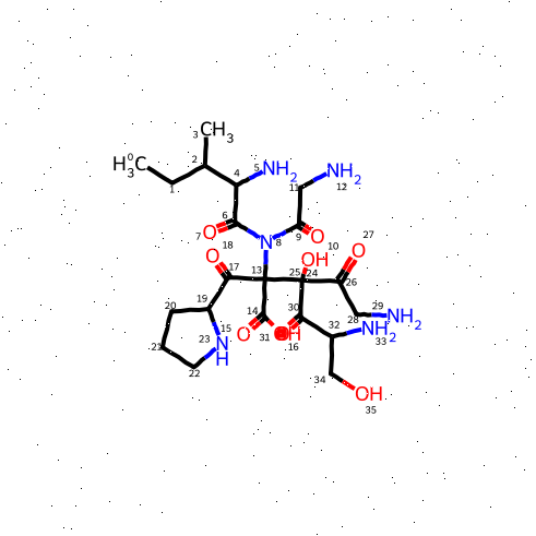 CCC(C)C(N)C(=O)N(C(=O)CN)C(C(=O)O)(C(=O)C1CCCN1)C(O)(C(=O)CN)C(=O)C(N)CO